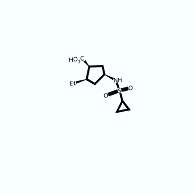 CC[C@@H]1C[C@H](NS(=O)(=O)C2CC2)C[C@@H]1C(=O)O